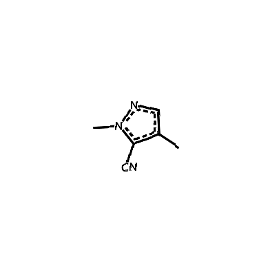 Cc1cnn(C)c1C#N